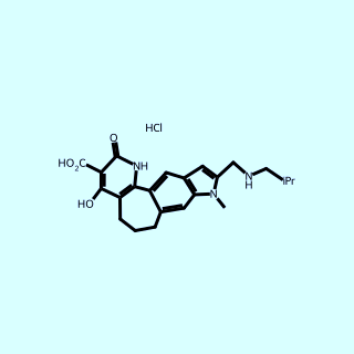 CC(C)CNCc1cc2cc3c(cc2n1C)CCCc1c-3[nH]c(=O)c(C(=O)O)c1O.Cl